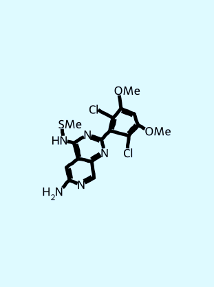 COc1cc(OC)c(Cl)c(-c2nc(NSC)c3cc(N)ncc3n2)c1Cl